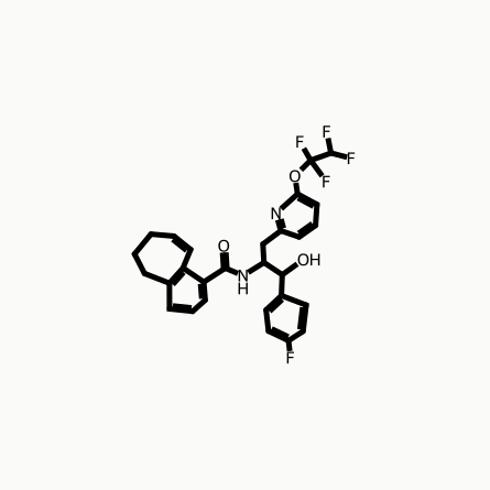 O=C(NC(Cc1cccc(OC(F)(F)C(F)F)n1)C(O)c1ccc(F)cc1)c1cccc2c1C=CCCC2